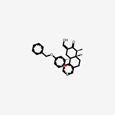 C[C@@H]1C(=O)/C(=C\O)C[C@]2(c3cccc(OCc4ccccc4)c3)c3ncncc3CC[C@@H]12